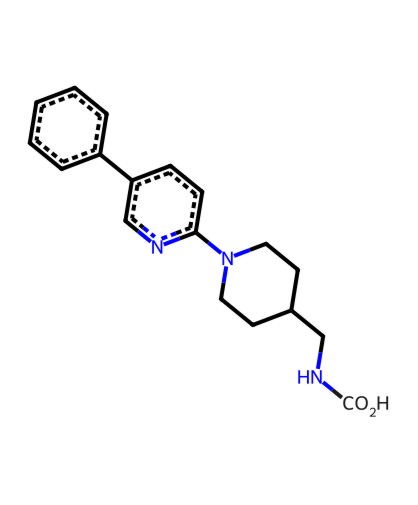 O=C(O)NCC1CCN(c2ccc(-c3ccccc3)cn2)CC1